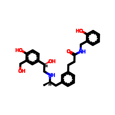 C[C@H](Cc1cccc(CCC(=O)NCc2ccccc2O)c1)NC[C@@H](O)c1ccc(O)c(CO)c1